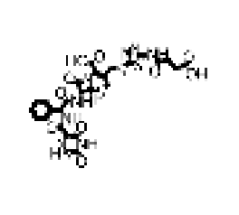 O=C(O)CCC(=O)Nc1nnc(SCC2=C(C(=O)O)N3C(=O)[C@@H](NC(=O)C(NC(=O)c4n[nH]c(=O)[nH]c4=O)c4ccccc4)[C@@H]3SC2)s1